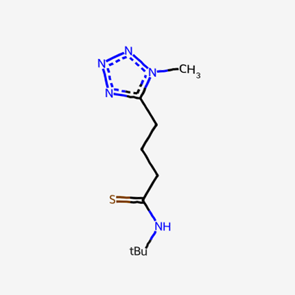 Cn1nnnc1CCCC(=S)NC(C)(C)C